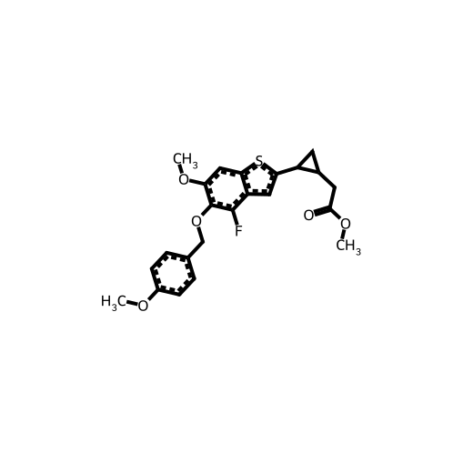 COC(=O)CC1CC1c1cc2c(F)c(OCc3ccc(OC)cc3)c(OC)cc2s1